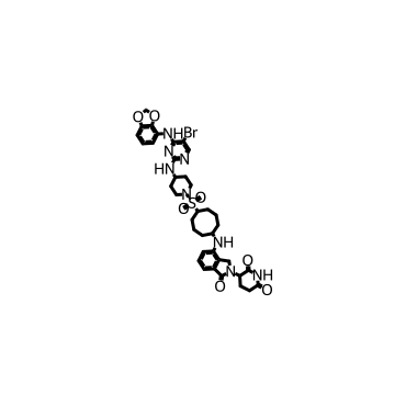 O=C1CCC(N2Cc3c(NC4CCCC(S(=O)(=O)N5CCC(Nc6ncc(Br)c(Nc7cccc8c7OCO8)n6)CC5)CCC4)cccc3C2=O)C(=O)N1